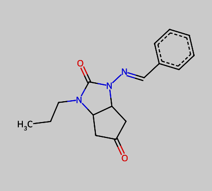 CCCN1C(=O)N(N=Cc2ccccc2)C2CC(=O)CC21